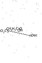 CCC(=O)O.CCCCCCCCCCCCCCCCCCCCCCCCCCCCSC(C)C(=O)O